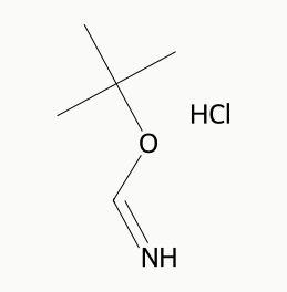 CC(C)(C)OC=N.Cl